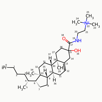 CC(C)CCC[C@@H](C)[C@H]1CC[C@H]2[C@@H]3CC=C4CC(O)(C(=O)NCC[N+](C)(C)C)CC[C@]4(C)[C@H]3CC[C@]12C